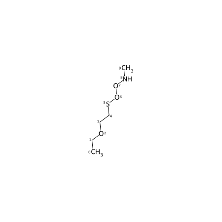 CCOCCSOONC